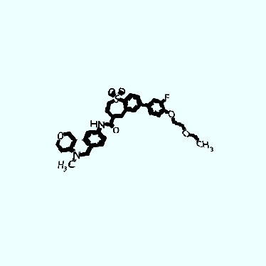 CCOCCOc1ccc(-c2ccc3c(c2)C=C(C(=O)Nc2ccc(CN(C)C4CCOCC4)cc2)CCS3(=O)=O)cc1F